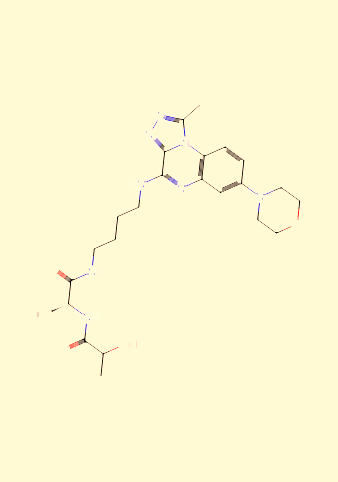 Cc1nnc2c(NCCCCNC(=O)[C@@H](NC(=O)C(C)O)C(C)C)nc3cc(N4CCOCC4)ccc3n12